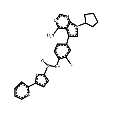 Nc1ncnc2c1c(-c1ccc(N[S+]([O-])c3ccc(-c4ccccn4)s3)c(F)c1)cn2C1CCCC1